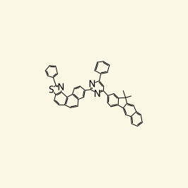 CC1(C)c2cc(-c3cc(-c4ccccc4)nc(-c4ccc5c(ccc6ccc7sc(-c8ccccc8)nc7c65)c4)n3)ccc2-c2cc3ccccc3cc21